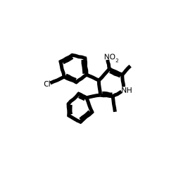 CC1=C(c2ccccc2)C(c2cccc(Cl)c2)C([N+](=O)[O-])=C(C)N1